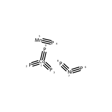 [P]#[Co](#[P])#[P].[P]#[Mn].[P]#[Ni]#[P]